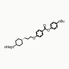 CCCCCCC[C@H]1CC[C@H](CCCOc2ccc(C(=O)Oc3ccc(CCCC)cc3)cc2)CC1